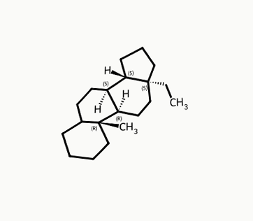 CC[C@@]12CCC[C@H]1[C@@H]1CCC3CCCC[C@@]3(C)[C@@H]1CC2